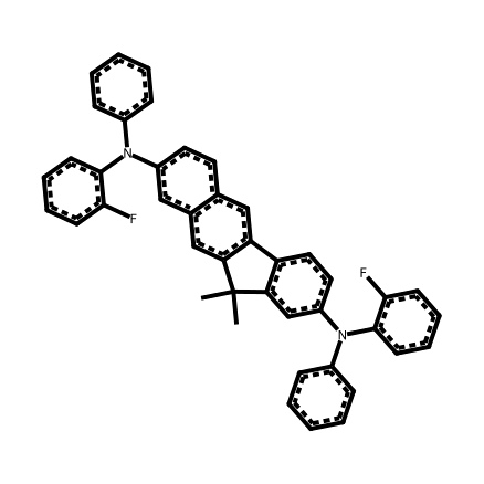 CC1(C)c2cc(N(c3ccccc3)c3ccccc3F)ccc2-c2cc3ccc(N(c4ccccc4)c4ccccc4F)cc3cc21